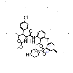 C=C/C=C(\C=C/C)S(=O)(=O)N1CCNC[C@@H]1CCc1c(F)cccc1NC(=O)[C@@H](NC(=O)OC)C(c1ccc(Cl)cc1)C(C)C